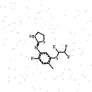 Cc1cc(F)c(N=C2NCCS2)cc1SC(F)C(F)F